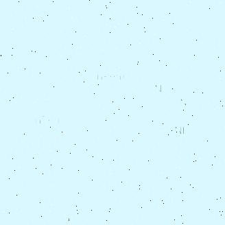 C=C(CCCCC)C(CCCCC)c1c[nH]nn1